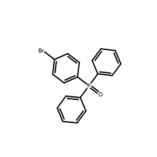 O=P(c1ccccc1)(c1ccccc1)c1ccc(Br)cc1